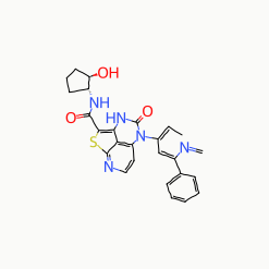 C=N/C(=C\C(=C/C)N1C(=O)Nc2c(C(=O)N[C@@H]3CCC[C@H]3O)sc3nccc1c23)c1ccccc1